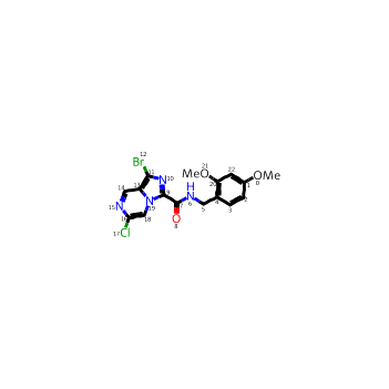 COc1ccc(CNC(=O)c2nc(Br)c3cnc(Cl)cn23)c(OC)c1